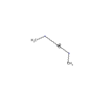 CCCCCCCC/C=C\CCCCCCCCCCCCOC(=O)OCCCCCCCC/C=C\CCCCCCCC